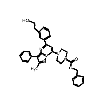 Cc1nn2c(N3CCN(C(=O)OCc4ccccc4)CC3)cc(-c3cccc(CCO)c3)nc2c1-c1ccccc1